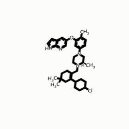 Cc1ccc(N2CCN(CC3=C(C4CCC(Cl)CC4)CC(C)(C)CC3)[C@H](C)C2)cc1Oc1cnc2[nH]ccc2c1